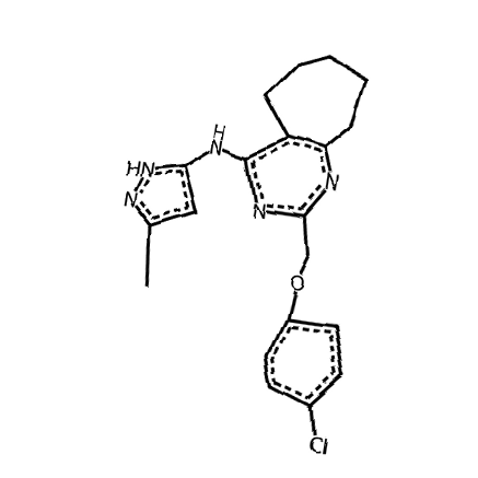 Cc1cc(Nc2nc(COc3ccc(Cl)cc3)nc3c2CCCCC3)[nH]n1